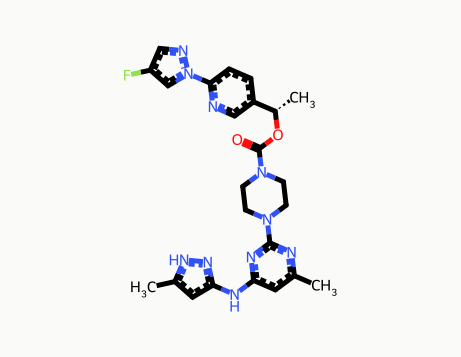 Cc1cc(Nc2cc(C)[nH]n2)nc(N2CCN(C(=O)O[C@@H](C)c3ccc(-n4cc(F)cn4)nc3)CC2)n1